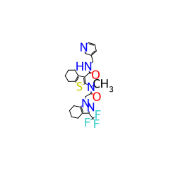 CN(C(=O)Cn1nc(C(F)(F)F)c2c1CCCC2)c1sc2c(c1C(=O)NCc1cccnc1)CCCC2